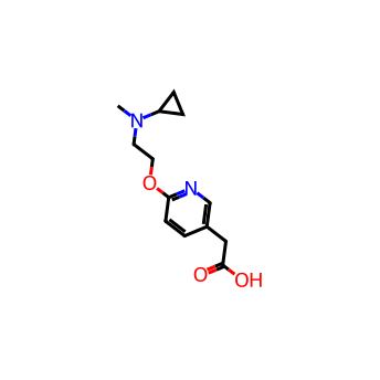 CN(CCOc1ccc(CC(=O)O)cn1)C1CC1